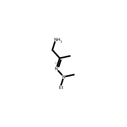 CCN(C)/N=C(\C)CN